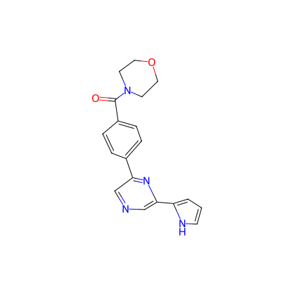 O=C(c1ccc(-c2cncc(-c3ccc[nH]3)n2)cc1)N1CCOCC1